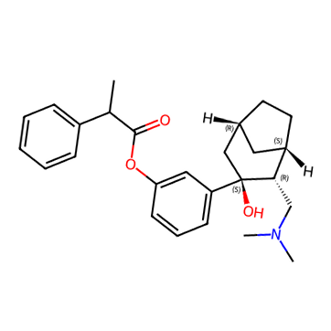 CC(C(=O)Oc1cccc([C@]2(O)C[C@@H]3CC[C@@H](C3)[C@@H]2CN(C)C)c1)c1ccccc1